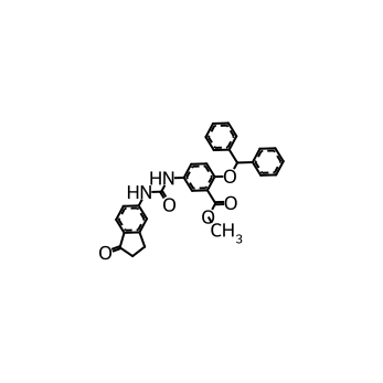 COC(=O)c1cc(NC(=O)Nc2ccc3c(c2)CCC3=O)ccc1OC(c1ccccc1)c1ccccc1